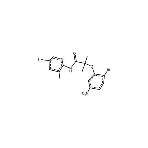 Cc1cc(Br)cnc1NC(=O)C(C)(C)Oc1cc([N+](=O)[O-])ccc1Br